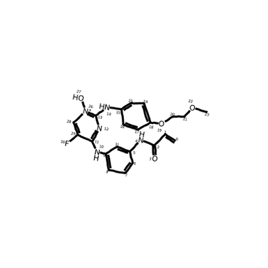 C=CC(=O)Nc1cccc(Nc2nc(Nc3ccc(OCCOC)cc3)[n+](O)cc2F)c1